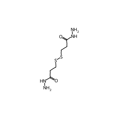 NNC(=O)CCSSCCC(=O)NN